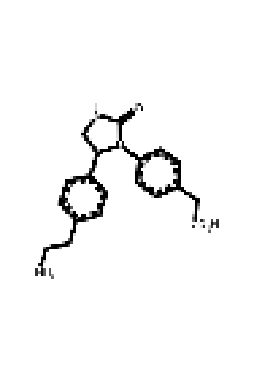 NCCc1ccc(C2CNC(=O)N2c2ccc(CC(=O)O)cc2)cc1